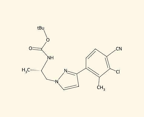 Cc1c(-c2ccn(C[C@H](C)NC(=O)OC(C)(C)C)n2)ccc(C#N)c1Cl